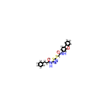 O=C(CSc1nnc(NC(=O)CCc2ccccc2)s1)Nc1ccc2c(c1)oc1ccccc12